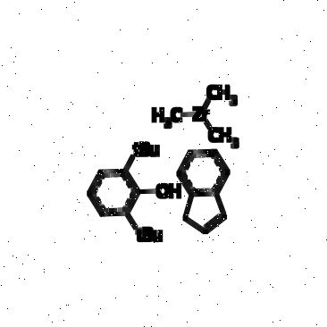 C1=Cc2ccccc2C1.CC(C)(C)c1cccc(C(C)(C)C)c1O.[CH3][Zr]([CH3])[CH3]